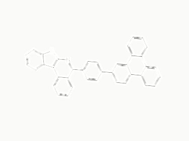 c1ccc2c(c1)sc1nc(-c3ccc(-c4ccc5c6ccccc6c6ccccc6c5c4)cc3)c3ccccc3c12